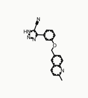 Cc1ccc2cc(COc3cccc(-c4nn[nH]c4C#N)c3)ccc2n1